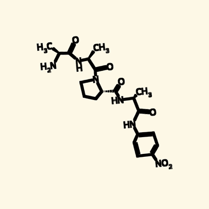 C[C@H](N)C(=O)N[C@@H](C)C(=O)N1CCC[C@H]1C(=O)N[C@@H](C)C(=O)Nc1ccc([N+](=O)[O-])cc1